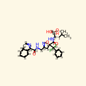 CC(C)C[C@H](NC(=O)C1(C(F)(F)c2ccccc2)CC(CNC(=O)c2nccc3ccccc23)=NO1)B(O)O